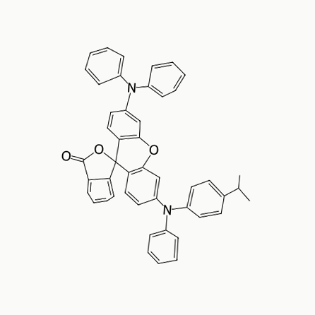 CC(C)c1ccc(N(c2ccccc2)c2ccc3c(c2)Oc2cc(N(c4ccccc4)c4ccccc4)ccc2C32OC(=O)c3ccccc32)cc1